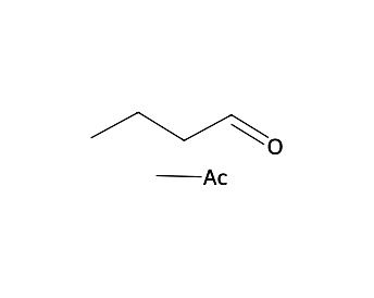 CC(C)=O.CCCC=O